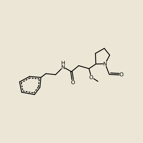 COC(CC(=O)NCCc1ccccc1)C1CCCN1C=O